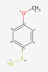 COc1ccc(SS)cc1